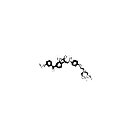 CCN(CC)CCOc1ccc(NC=C2C(=O)Nc3cc(C(=O)c4cccc(N)c4)ccc32)cc1